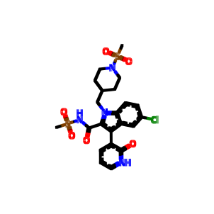 CS(=O)(=O)NC(=O)c1c(-c2ccc[nH]c2=O)c2cc(Cl)ccc2n1CC1CCN(S(C)(=O)=O)CC1